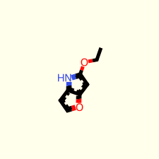 CCOc1cc2occc2[nH]1